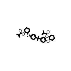 C=C(C)C(=O)OC1CCCCC1OC1=CC=C(C(C)(C)C2=CC=C(OC3CCCCC3OC(=O)C(=C)C)CC2)CC1